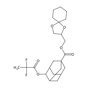 CC(F)(F)C(=O)OC1C2CC3CC1CC(C(=O)OCC1COC4(CCCCC4)O1)(C3)C2